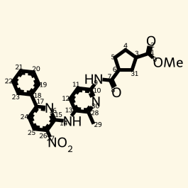 COC(=O)C1CCC(C(=O)Nc2ccc(Nc3nc(-c4ccccc4)ccc3[N+](=O)[O-])c(C)n2)C1